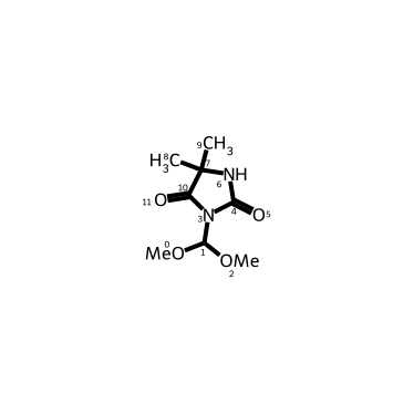 COC(OC)N1C(=O)NC(C)(C)C1=O